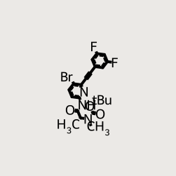 CC(C(=O)Nc1ccc(Br)c(C#Cc2cc(F)cc(F)c2)n1)N(C)C(=O)OC(C)(C)C